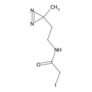 CC1(CCNC(=O)CI)N=N1